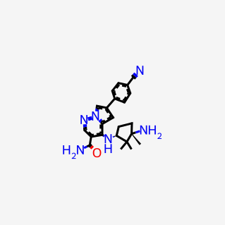 CC1(C)[C@H](Nc2c(C(N)=O)cnn3cc(-c4ccc(C#N)cc4)cc23)CC[C@]1(C)N